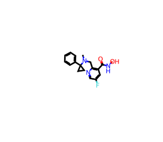 CN(Cc1ncc(F)cc1C(=O)NO)C1(c2ccccc2)CC1